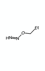 CCCON=N